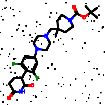 CC1(CN2CCN(c3cc(F)c(C4CCC(=O)NC4=O)c(F)c3)CC2)CCN(C(=O)OC(C)(C)C)CC1